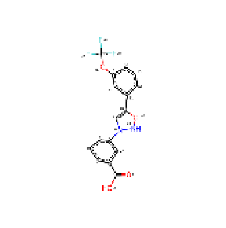 O=C(O)c1cccc(N2C=C(c3cccc(OC(F)(F)F)c3)ON2)c1